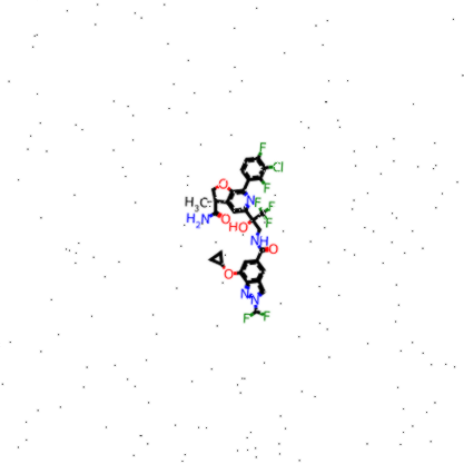 C[C@]1(C(N)=O)COc2c1cc(C(O)(CNC(=O)c1cc(OC3CC3)c3nn(C(F)F)cc3c1)C(F)(F)F)nc2-c1ccc(F)c(Cl)c1F